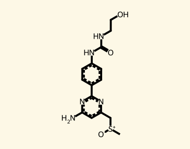 C[S+]([O-])Cc1cc(N)nc(-c2ccc(NC(=O)NCCO)cc2)n1